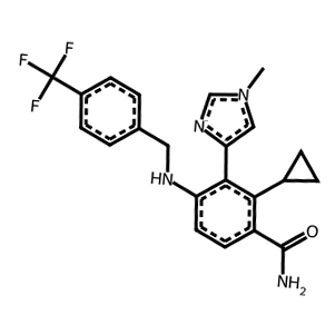 Cn1cnc(-c2c(NCc3ccc(C(F)(F)F)cc3)ccc(C(N)=O)c2C2CC2)c1